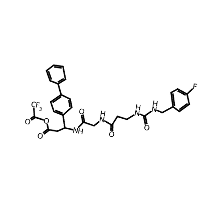 O=C(CCNC(=O)NCc1ccc(F)cc1)NCC(=O)NC(CC(=O)OC(=O)C(F)(F)F)c1ccc(-c2ccccc2)cc1